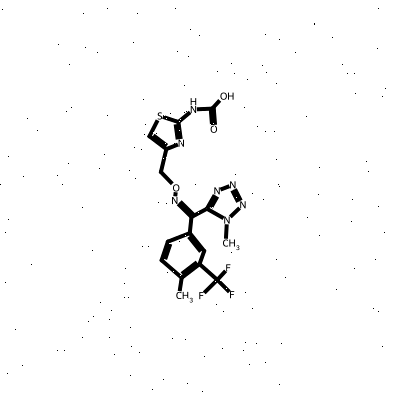 Cc1ccc(C(=NOCc2csc(NC(=O)O)n2)c2nnnn2C)cc1C(F)(F)F